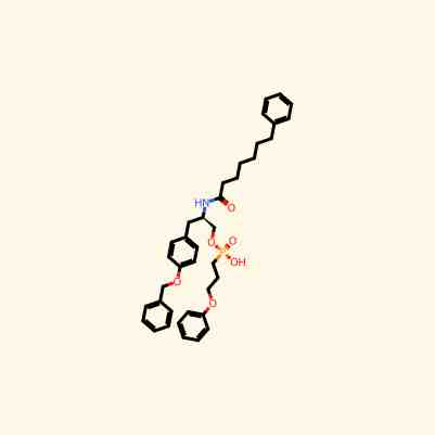 O=C(CCCCCCc1ccccc1)N[C@@H](COP(=O)(O)CCCOc1ccccc1)Cc1ccc(OCc2ccccc2)cc1